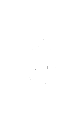 CNS(=O)(=O)c1ccc2c(c1)N(c1nc[nH]c3nccc1-3)CC2